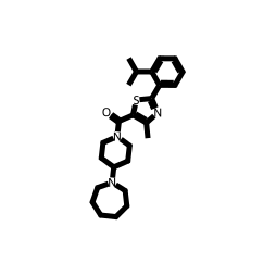 Cc1nc(-c2ccccc2C(C)C)sc1C(=O)N1CCC(N2CCCCCC2)CC1